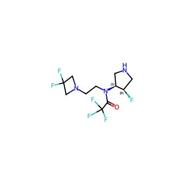 O=C(N(CCN1CC(F)(F)C1)[C@H]1CNC[C@H]1F)C(F)(F)F